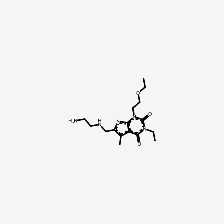 CCOCCn1c(=O)n(CC)c(=O)c2c(C)c(CNCCN)sc21